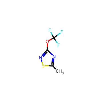 Cc1nc(OC(F)(F)F)ns1